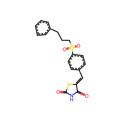 O=C1NC(=O)C(=Cc2ccc(S(=O)(=O)CCCc3ccccc3)cc2)S1